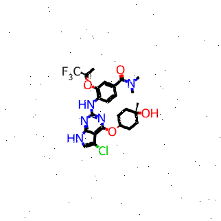 C[C@@H](Oc1cc(C(=O)N(C)C)ccc1Nc1nc(O[C@H]2CC[C@@](C)(O)CC2)c2c(Cl)c[nH]c2n1)C(F)(F)F